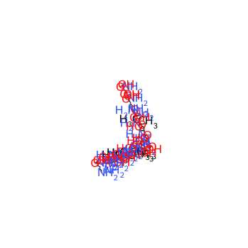 CC(C)C[C@H](N)C(=O)O.CC(C)[C@H](N)C(=O)O.CC[C@H](C)[C@H](N)C(=O)O.C[C@H](N)C(=O)O.C[C@H](N)C(=O)O.NC(=O)C[C@H](N)C(=O)O.NC(=O)C[C@H](N)C(=O)O.NCC(=O)O.NCCCC[C@H](N)C(=O)O.NCCCC[C@H](N)C(=O)O.NCCCC[C@H](N)C(=O)O.N[C@@H](CCC(=O)O)C(=O)O.N[C@@H](Cc1c[nH]cn1)C(=O)O.N[C@@H](Cc1ccc(O)cc1)C(=O)O.N[C@@H](Cc1ccccc1)C(=O)O